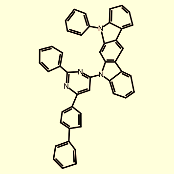 c1ccc(-c2ccc(-c3cc(-n4c5ccccc5c5cc6c7ccccc7n(-c7ccccc7)c6cc54)nc(-c4ccccc4)n3)cc2)cc1